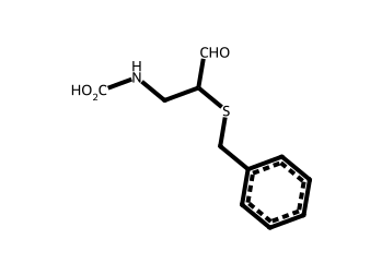 O=CC(CNC(=O)O)SCc1ccccc1